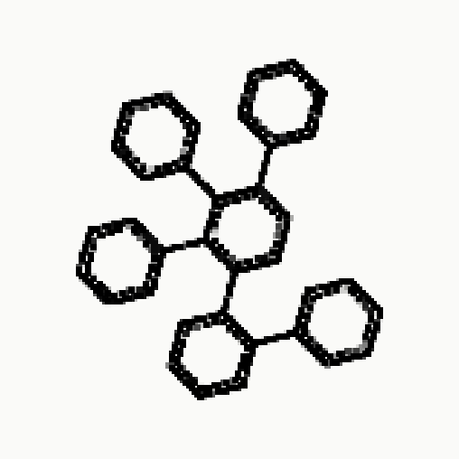 c1ccc(-c2ccccc2-c2ccc(-c3ccccc3)c(-c3ccccc3)c2-c2ccccc2)cc1